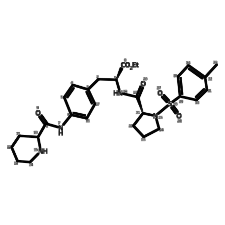 CCOC(=O)[C@H](Cc1ccc(NC(=O)C2CCCCN2)cc1)NC(=O)[C@@H]1CCCN1S(=O)(=O)c1ccc(C)cc1